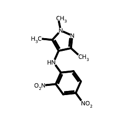 Cc1nn(C)c(C)c1Nc1ccc([N+](=O)[O-])cc1[N+](=O)[O-]